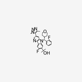 Cc1nnn(C)c1-c1cnc2c3cc(F)c(C(C)(C)O)cc3n([C@H](c3ccccc3F)C3CCOCC3)c2c1